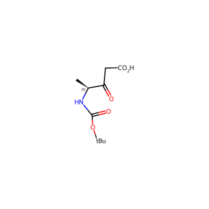 C[C@H](NC(=O)OC(C)(C)C)C(=O)CC(=O)O